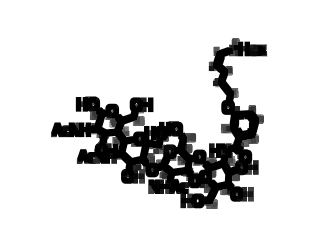 CCCCCC/C=C\CCCOc1cccc(C(=O)NC2C(OC3C(CO)OC(OC4C(CO)OC(C5C(CO)OC(O)C(NC(C)=O)C5O)C(NC(C)=O)C4O)C(NC(C)=O)C3O)OC(CO)C(O)C2O)c1